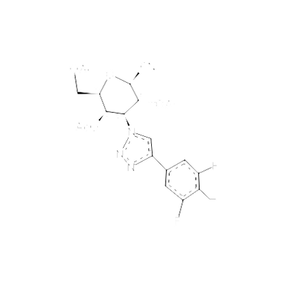 CC(=O)OC[C@H]1O[C@@H](C#N)[C@H](OC(C)=O)[C@@H](n2cc(-c3cc(F)c(F)c(F)c3)nn2)[C@H]1OC(C)=O